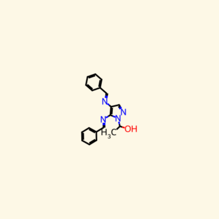 CC(O)n1ncc(/N=C/c2ccccc2)c1/N=C/c1ccccc1